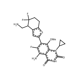 COc1c(-c2cc3c(s2)CCC(F)(F)C3CN)c(F)c(N)c2c(=O)[nH]c(=O)n(C3CC3)c12